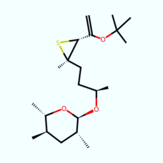 C=C(OC(C)(C)C)[C@H]1S[C@]1(C)CC[C@@H](C)O[C@@H]1O[C@@H](C)[C@H](C)C[C@H]1C